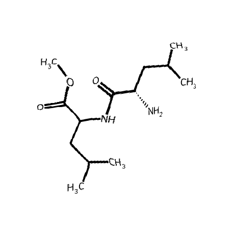 COC(=O)C(CC(C)C)NC(=O)[C@@H](N)CC(C)C